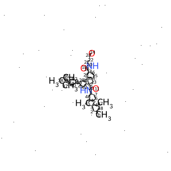 Cc1ccc(-c2ccc(NC(=O)C(Cc3ccc(C(=O)NCCC=O)cc3)c3ccc(-c4ccc(C(C)(C)C)cc4)cc3)cc2C)c(C)c1